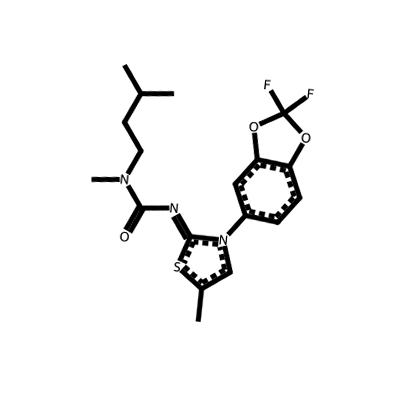 Cc1cn(-c2ccc3c(c2)OC(F)(F)O3)/c(=N/C(=O)N(C)CCC(C)C)s1